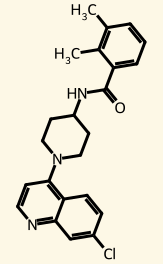 Cc1cccc(C(=O)NC2CCN(c3ccnc4cc(Cl)ccc34)CC2)c1C